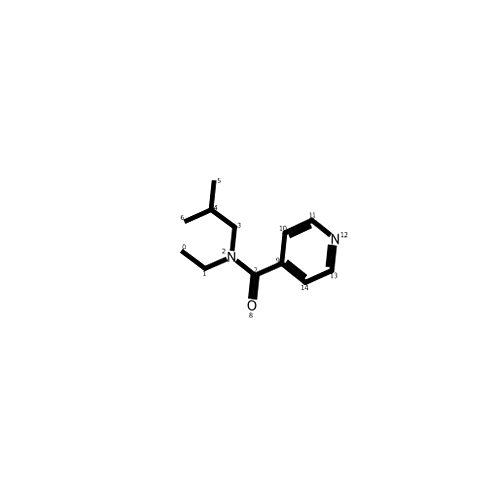 CCN(CC(C)C)C(=O)c1ccncc1